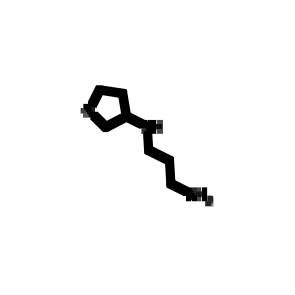 NCCCNC1CC[N]C1